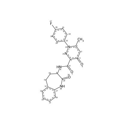 Cc1cc(=O)c(C(=O)NC2CCc3ccccc3NC2=O)nn1-c1ccc(F)cc1